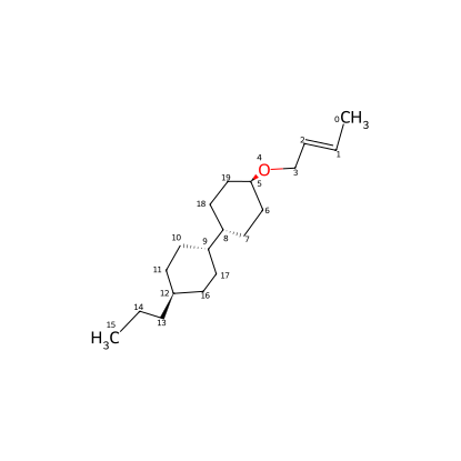 CC=CCO[C@H]1CC[C@H]([C@H]2CC[C@H](CCC)CC2)CC1